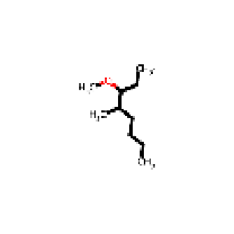 [CH2]CC(OC)C(C)CCCC